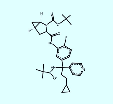 CC(C)(C)OC(=O)N1[C@@H](C(=O)Nc2cc(C(CCC3CC3)(N[S+]([O-])C(C)(C)C)c3ccncc3)ccc2F)C[C@H]2C[C@H]21